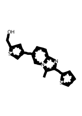 Cc1c(-c2cccs2)nc2ccc(-c3csc(CO)c3)cn12